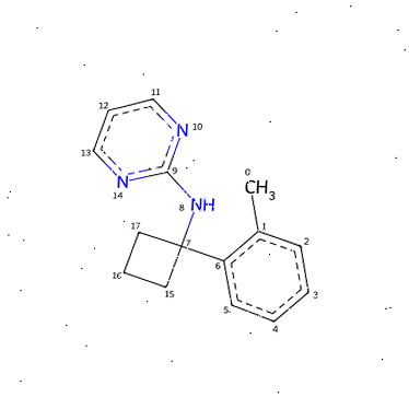 Cc1ccccc1C1(Nc2ncccn2)CCC1